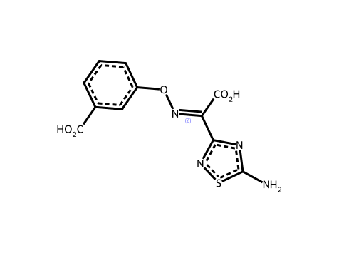 Nc1nc(/C(=N/Oc2cccc(C(=O)O)c2)C(=O)O)ns1